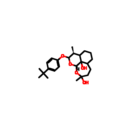 C[C@H]1C(Oc2ccc(C(C)(C)C)cc2)O[C@@H]2OC(C)(O)CCC3CCCC1[C@]32O